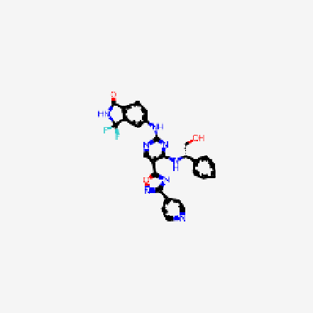 O=C1NC(F)(F)c2cc(Nc3ncc(-c4nc(-c5ccncc5)no4)c(N[C@H](CO)c4ccccc4)n3)ccc21